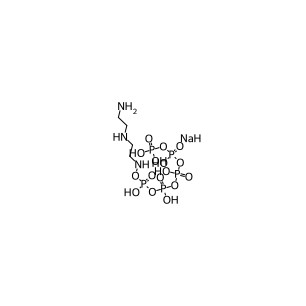 NCCNCCNOP(=O)(O)OP(=O)(O)OP(=O)(O)OP(=O)(O)OP(=O)(O)O.[NaH]